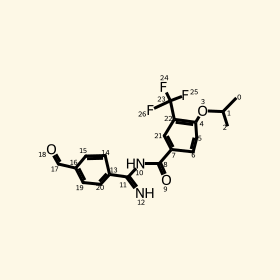 CC(C)Oc1ccc(C(=O)NC(=N)c2ccc(C=O)cc2)cc1C(F)(F)F